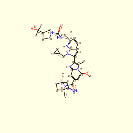 COc1cc(C(=O)N2[C@H]3CC[C@@H]2[C@H](N)C3)cc2nc(-c3cc4ccc([C@@H](C)NC(=O)N5CCC(C(C)(C)O)C5)nc4n3CC3CC3)c(C)n12